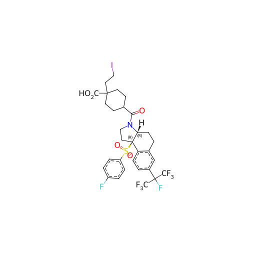 O=C(C1CCC(CCI)(C(=O)O)CC1)N1CC[C@@]2(S(=O)(=O)c3ccc(F)cc3)c3ccc(C(F)(C(F)(F)F)C(F)(F)F)cc3CC[C@@H]12